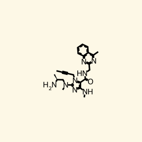 CC#CCn1c(N(C)C[C@H](C)N)nc(NC)c1C(=O)NCc1nc(C)c2ccccc2n1